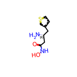 N[C@@H](CC(=O)NO)Cc1ccsc1